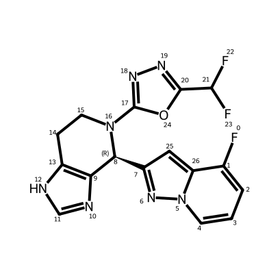 Fc1cccn2nc([C@H]3c4nc[nH]c4CCN3c3nnc(C(F)F)o3)cc12